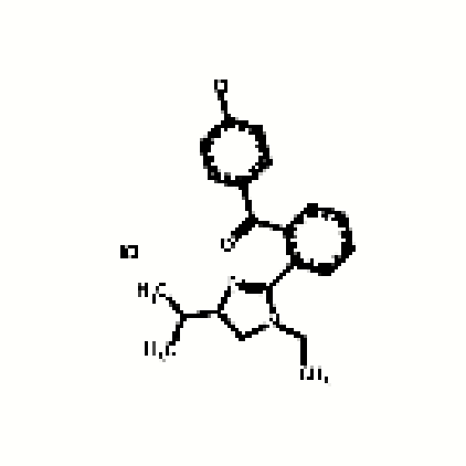 CCN1CC(C(C)C)N=C1c1ccccc1C(=O)c1ccc(Cl)cc1.Cl